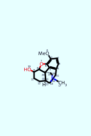 COc1ccc2c3c1OC1C(O)CC[C@@H]4C(C2)N(C)CC[C@@]314